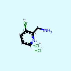 Cl.Cl.NCc1ncccc1Br